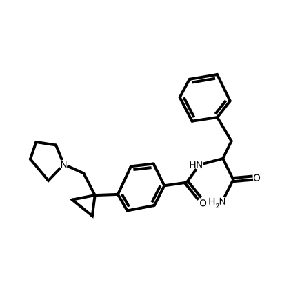 NC(=O)C(Cc1ccccc1)NC(=O)c1ccc(C2(CN3CCCC3)CC2)cc1